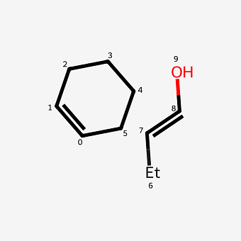 C1=CCCCC1.CCC=CO